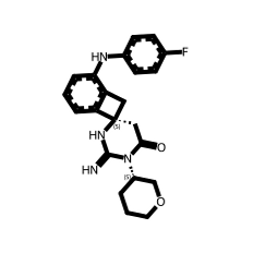 N=C1N[C@]2(CC(=O)N1[C@H]1CCCOC1)Cc1c(Nc3ccc(F)cc3)cccc12